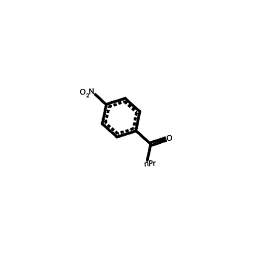 CCCC(=O)c1ccc([N+](=O)[O-])cc1